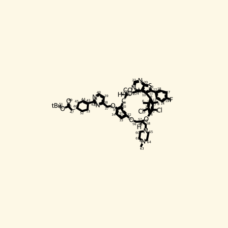 Cc1c(Cl)c2c(Cl)c(C)c1-c1c(-c3ccc(F)cc3)sc3ncnc(c13)O[C@@H](C(=O)O)Cc1cc(ccc1OCc1ccnc(C3=CC[C@@H](CC(=O)OC(C)(C)C)CC3)n1)OC[C@@H](CN1CCN(C)CC1)O2